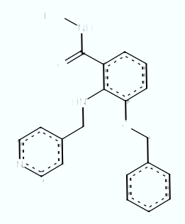 CNC(=O)c1cccc(OCc2ccccc2)c1NCc1ccncc1